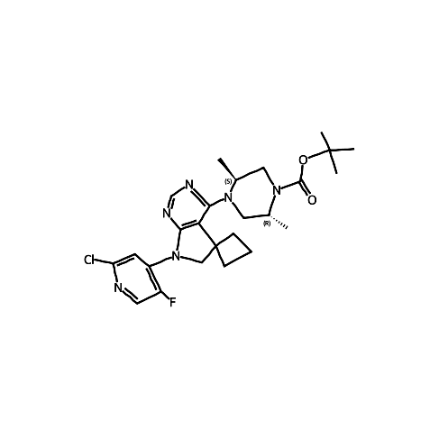 C[C@@H]1CN(c2ncnc3c2C2(CCC2)CN3c2cc(Cl)ncc2F)[C@@H](C)CN1C(=O)OC(C)(C)C